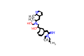 C=CCN(C=C)C(=N)/C=C1\C/C=C\C=C\C(C(O)CN(CO)C(C)CC2C=CC=NC2C)C1